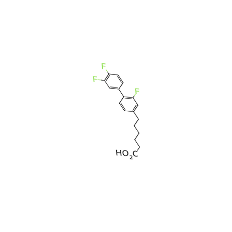 O=C(O)CCCCCc1ccc(-c2ccc(F)c(F)c2)c(F)c1